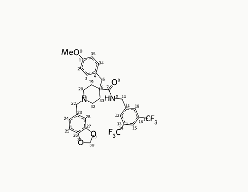 COc1ccc(CC2(C(=O)NCc3cc(C(F)(F)F)cc(C(F)(F)F)c3)CCN(Cc3ccc4c(c3)OCO4)CC2)cc1